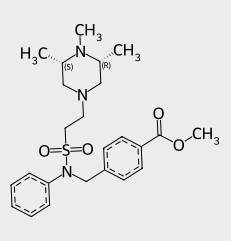 COC(=O)c1ccc(CN(c2ccccc2)S(=O)(=O)CCN2C[C@@H](C)N(C)[C@@H](C)C2)cc1